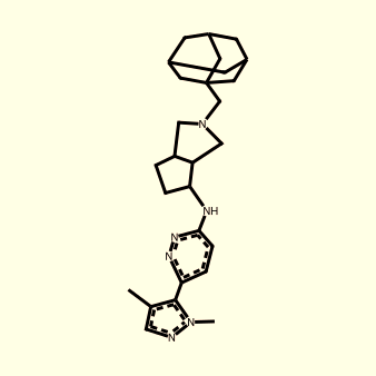 Cc1cnn(C)c1-c1ccc(NC2CCC3CN(CC45CC6CC(CC(C6)C4)C5)CC32)nn1